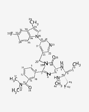 C/C=C(\Nc1cnc(-c2cccc(C(=O)N(C)C)c2)n(Cc2cncc(-n3cc(C)c4cc(F)ccc43)c2)c1=O)[C@H](CF)NC